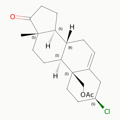 CC(=O)OC[C@]12CC[C@H](Cl)CC1=CC[C@@H]1[C@@H]2CC[C@]2(C)C(=O)CC[C@@H]12